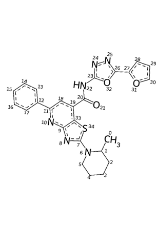 CC1CCCCN1c1nc2nc(-c3ccccc3)cc(C(=O)Nc3nnc(-c4ccco4)o3)c2s1